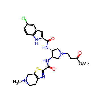 COC(=O)CCN1C[C@@H](NC(=O)c2cc3cc(Cl)ccc3[nH]2)[C@H](NC(=O)c2nc3c(s2)CN(C)CC3)C1